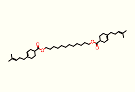 CC(C)=CCCC1=CCC(C(=O)OCCCCCCCCCCCCOC(=O)C2CC=C(CCC=C(C)C)CC2)CC1